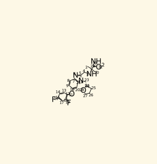 CC(C)(NCc1nc2ccc(Oc3ccc(F)cc3F)cc2n1C[C@@H]1CCCO1)C(N)=O